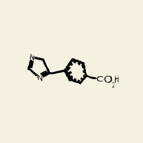 O=C(O)c1ccc(C2=NC=NC2)cc1